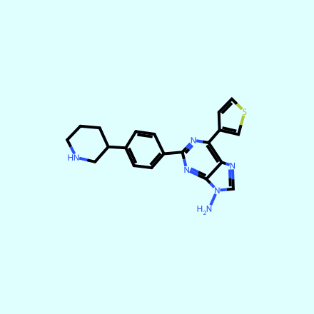 Nn1cnc2c(-c3ccsc3)nc(-c3ccc(C4CCCNC4)cc3)nc21